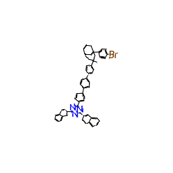 CC1(c2ccc(-c3ccc(-c4ccc(-c5nc(-c6ccc7ccccc7c6)nc(-c6ccc7ccccc7c6)n5)cc4)cc3)cc2)CC2CCCC(c3ccc(Br)cc3)(C2)C1